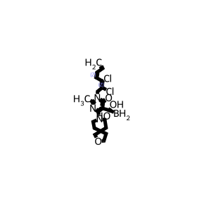 BC(O)(O)c1c(N2CCC3(CCOC3)CC2)nc(C)n(C/C(Cl)=C(Cl)\C=C/C=C)c1=O